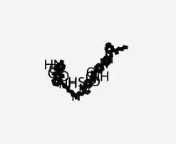 C=C1CCC(N2C(=O)c3cccc(NCCCCCN(C)CCC(CC)N(C)c4ccc(S(=O)(=O)NC(=O)c5ccc(N6CCN(CC7=C(C(=C)CCCC)CC(C)(C)CC7)CC6)cc5)cc4S)c3C2=O)C(=O)N1